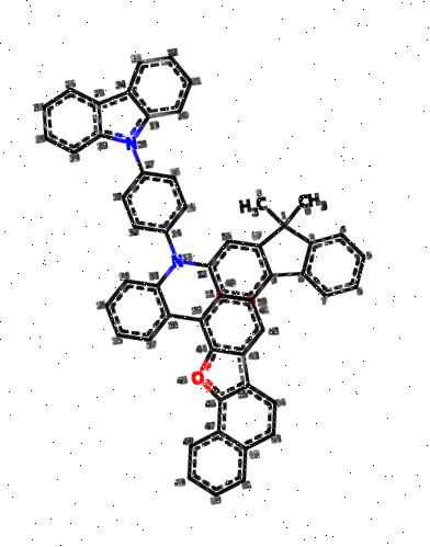 CC1(C)c2ccccc2-c2ccc(N(c3ccc(-n4c5ccccc5c5ccccc54)cc3)c3ccccc3-c3cccc4c3oc3c5ccccc5ccc43)cc21